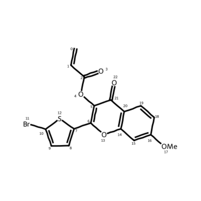 C=CC(=O)Oc1c(-c2ccc(Br)s2)oc2cc(OC)ccc2c1=O